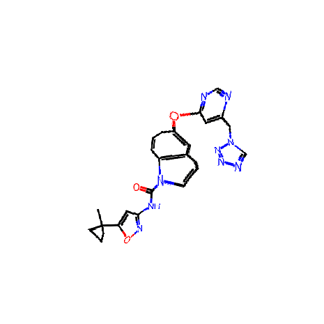 CC1(c2cc(NC(=O)n3ccc4cc(Oc5cc(Cn6cnnn6)ncn5)ccc43)no2)CC1